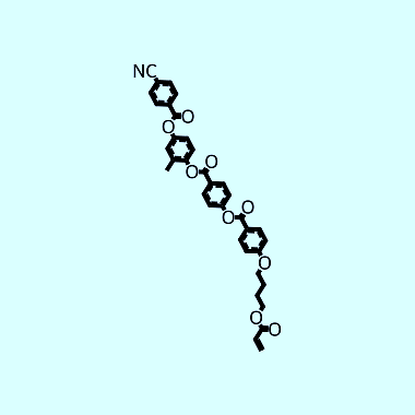 C=CC(=O)OCCCCOc1ccc(C(=O)Oc2ccc(C(=O)Oc3ccc(OC(=O)c4ccc(C#N)cc4)cc3C)cc2)cc1